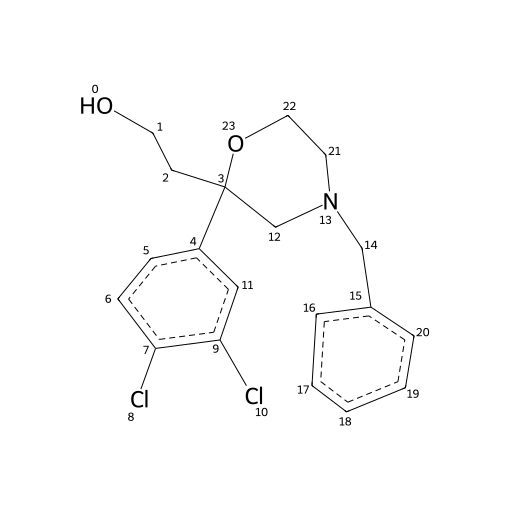 OCCC1(c2ccc(Cl)c(Cl)c2)CN(Cc2ccccc2)CCO1